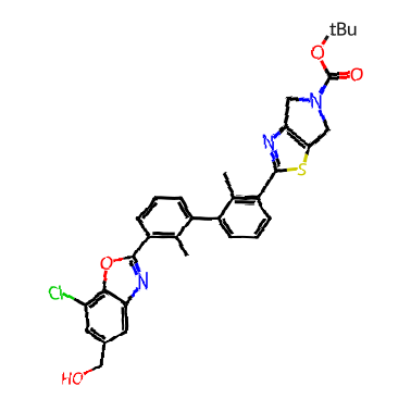 Cc1c(-c2nc3cc(CO)cc(Cl)c3o2)cccc1-c1cccc(-c2nc3c(s2)CN(C(=O)OC(C)(C)C)C3)c1C